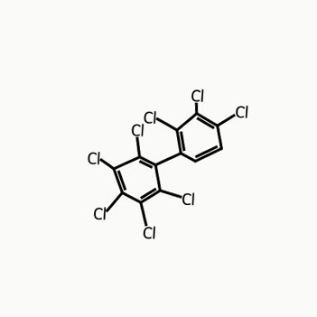 Clc1ccc(-c2c(Cl)c(Cl)c(Cl)c(Cl)c2Cl)c(Cl)c1Cl